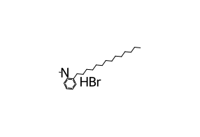 Br.CCCCCCCCCCCCCCc1ccccc1N(C)C